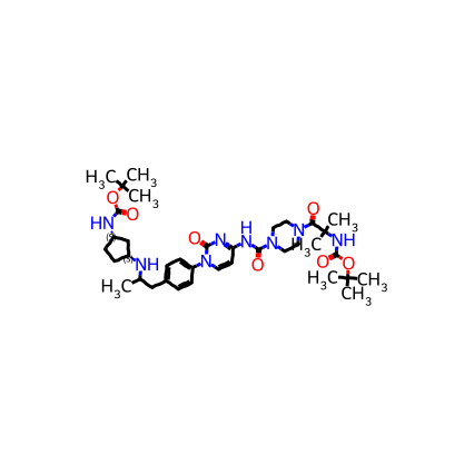 CC(Cc1ccc(-n2ccc(NC(=O)N3CCN(C(=O)C(C)(C)NC(=O)OC(C)(C)C)CC3)nc2=O)cc1)N[C@H]1CC[C@H](NC(=O)OC(C)(C)C)C1